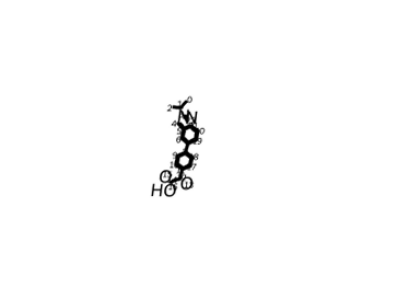 CC(C)n1cc2cc(-c3ccc(C(=O)C(=O)O)cc3)ccc2n1